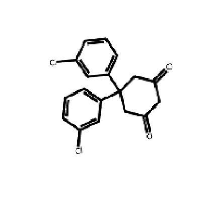 O=C1CC(=O)CC(c2cccc(Cl)c2)(c2cccc(Cl)c2)C1